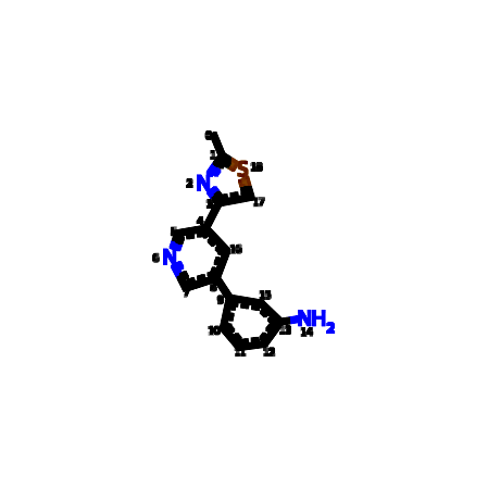 Cc1nc(-c2cncc(-c3cccc(N)c3)c2)cs1